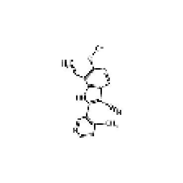 C=Cc1c(OC)ncc2c(C#N)c(-c3cnccc3C)[nH]c12